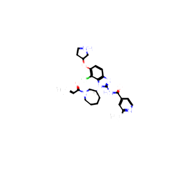 C=CC(=O)N1CCCC[C@@H](n2c(NC(=O)c3ccnc(C)c3)nc3ccc(OC4CCNC4)c(Cl)c32)C1